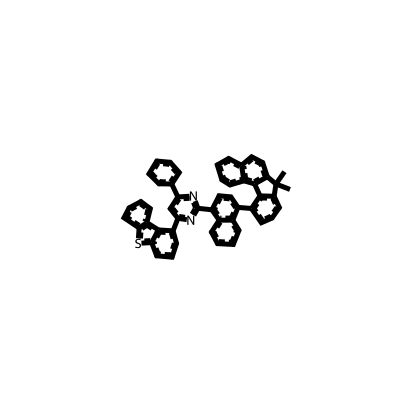 CC1(C)c2cccc(-c3ccc(-c4nc(-c5ccccc5)cc(-c5cccc6sc7ccccc7c56)n4)c4ccccc34)c2-c2c1ccc1ccccc21